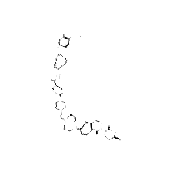 N#Cc1ccc(O[C@H]2CC[C@H](NC(=O)c3cnc(N4CCC(CN5CCN(c6ccc7c(=O)n([C@H]8CCC(=O)NC8=O)ncc7c6)CC5)CC4)nc3)CC2)cc1Cl